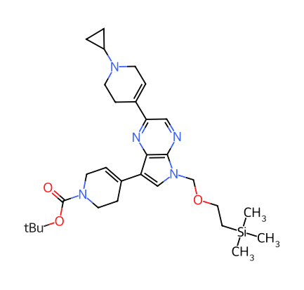 CC(C)(C)OC(=O)N1CC=C(c2cn(COCC[Si](C)(C)C)c3ncc(C4=CCN(C5CC5)CC4)nc23)CC1